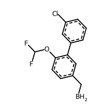 BCc1ccc(OC(F)F)c(-c2cccc(Cl)c2)c1